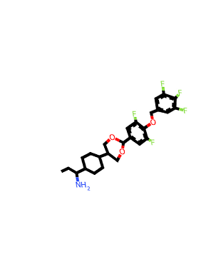 CCC(N)C1CCC(C2COC(c3cc(F)c(OCc4cc(F)c(F)c(F)c4)c(F)c3)OC2)CC1